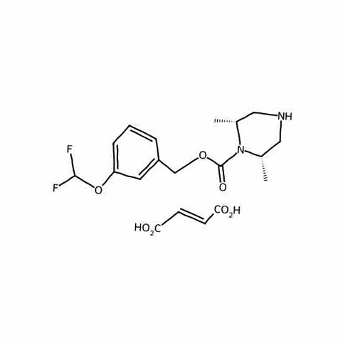 C[C@@H]1CNC[C@H](C)N1C(=O)OCc1cccc(OC(F)F)c1.O=C(O)/C=C/C(=O)O